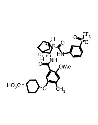 COc1cc(C)c(O[C@H]2CC[C@@H](C(=O)O)CC2)cc1C(=O)N[C@@H]1[C@H]2CC[C@H](C2)[C@@H]1C(=O)Nc1cccc(S(=O)(=O)C(F)(F)F)c1